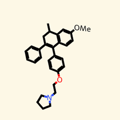 COc1ccc2c(c1)C(C)CC(c1ccccc1)=C2c1ccc(OCCN2CCCC2)cc1